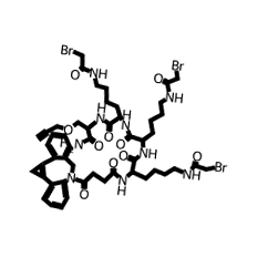 C#CCOCC(NC(=O)C(CCCCNC(=O)CBr)NC(=O)C(CCCCNC(=O)CBr)NC(=O)C(CCCCNC(=O)CBr)NC(=O)CCC(=O)N1Cc2ccccc2C2=C(C2)c2ccccc21)C(N)=O